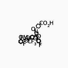 COc1cccc(F)c1COC(c1ccc([C@]2(S(=O)(=O)c3ccc(F)cc3)CCN(C(=O)[C@H]3CC[C@H](C(=O)O)CC3)C2)cc1)(C(F)(F)F)C(F)(F)F